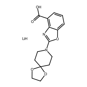 O=C(O)c1cccc2oc(N3CCC4(CC3)OCCO4)nc12.[LiH]